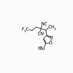 [C-]#[N+]C(C#N)(CCC(F)(F)F)C(C)c1cc(C(C)(C)C)on1